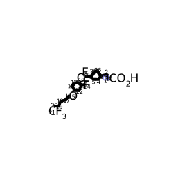 O=C(O)/C=C/c1ccc(C(F)(F)Oc2ccc(OCCCCCC(F)(F)F)cc2F)cc1